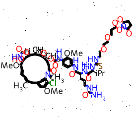 COc1cc(NC(=O)[C@H](CCCNC(N)=O)NC(=O)[C@@H](NC(=S)NCCOCCOCCC(=O)ON2C(=O)CCC2=O)C(C)C)ccc1NC(=O)O[C@H]1CC(=O)N(C)c2cc(cc(OC)c2Cl)C/C(C)=C/C=C/[C@@H](OC)[C@@]2(O)C[C@H](OC(=O)N2)[C@@H](C)[C@@H]2O[C@@]12C